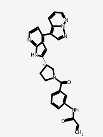 C=CC(=O)Nc1cccc(C(=O)N2CC[C@H](c3cc4c(-c5cnn6ncccc56)ccnc4[nH]3)C2)c1